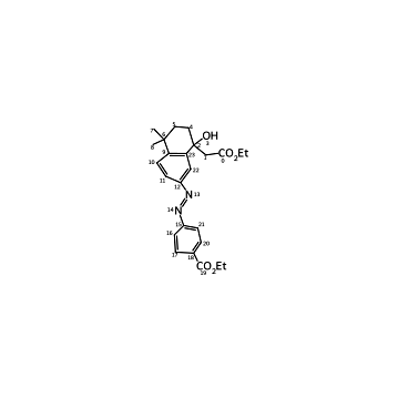 CCOC(=O)CC1(O)CCC(C)(C)c2ccc(N=Nc3ccc(C(=O)OCC)cc3)cc21